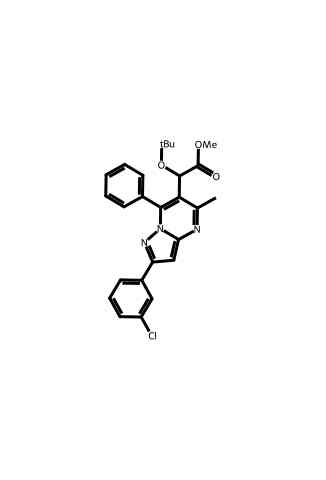 COC(=O)C(OC(C)(C)C)c1c(C)nc2cc(-c3cccc(Cl)c3)nn2c1-c1ccccc1